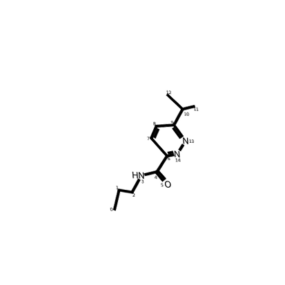 CCCNC(=O)c1ccc(C(C)C)nn1